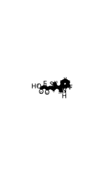 O=C(O)C(F)C(=O)c1cc(-c2c[nH]c3c(F)cccc23)cs1